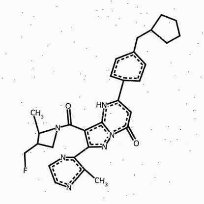 Cc1nccnc1-c1nn2c(=O)cc(-c3ccc(CC4CCCC4)cc3)[nH]c2c1C(=O)N1CC(CF)C1C